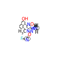 CCc1cccc2cc(O)cc(-c3cc4nc(OC[C@]56CCCN5C[C@@H](F)C6)nc5c4c(n3)OC[C@H]3[C@@H]4CC[C@H](CN53)N4)c12